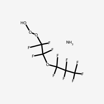 N.OOOC(F)(F)C(F)(F)OC(F)(F)C(F)(F)C(F)(F)F